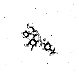 COCc1nnc(-c2cc(Cl)c(F)cc2NS(=O)(=O)c2ccc(C(C)(C)C)cc2)n1C1CCOC1